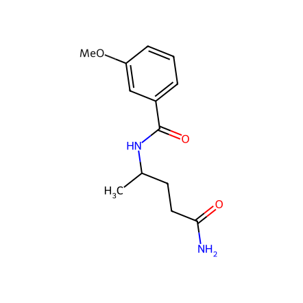 COc1cccc(C(=O)NC(C)CCC(N)=O)c1